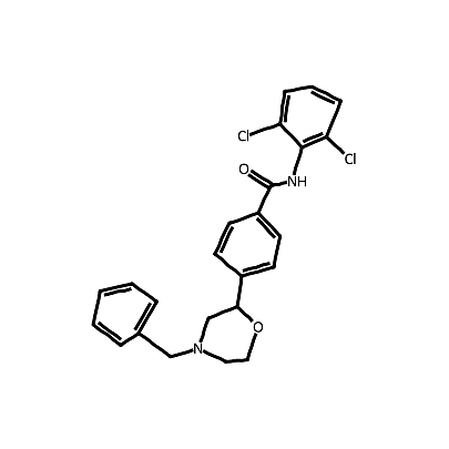 O=C(Nc1c(Cl)cccc1Cl)c1ccc(C2CN(Cc3ccccc3)CCO2)cc1